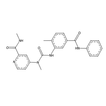 CNC(=O)c1cc(N(C)C(=O)Nc2cc(C(=O)Nc3ccccc3)ccc2C)ccn1